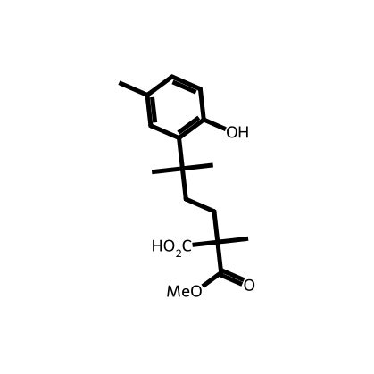 COC(=O)C(C)(CCC(C)(C)c1cc(C)ccc1O)C(=O)O